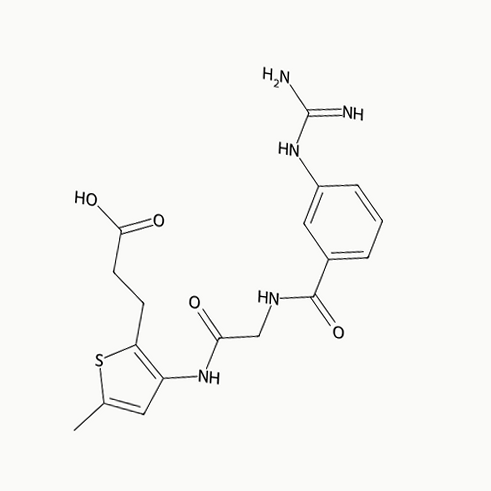 Cc1cc(NC(=O)CNC(=O)c2cccc(NC(=N)N)c2)c(CCC(=O)O)s1